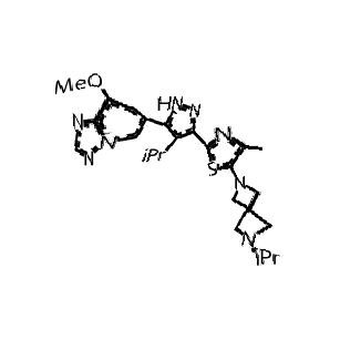 COc1cc(-c2[nH]nc(-c3nc(C)c(N4CC5(C4)CN(C(C)C)C5)s3)c2C(C)C)cn2ncnc12